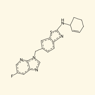 Fc1cnc2c(c1)ncn2Cc1ccc2nc(NC3C=CCCC3)sc2c1